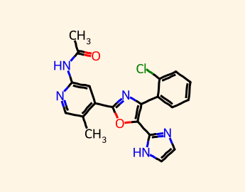 CC(=O)Nc1cc(-c2nc(-c3ccccc3Cl)c(-c3ncc[nH]3)o2)c(C)cn1